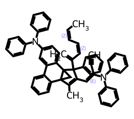 C#C/C(=C\C1=C(C)C23CC2(c2ccc(N(c4ccccc4)c4ccccc4)cc2-c2ccccc23)C1(C(=C)/C=C\C=C/C)c1ccccc1)N(c1ccccc1)c1ccccc1